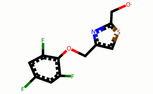 [O]Cc1nc(COc2c(F)cc(F)cc2F)cs1